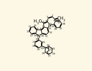 C=C/C=C\c1c(C)c2c3c4ccccc4n(-c4cccc(C5CC6CCC5CC6)c4)c3ccc2n1-c1ccccc1